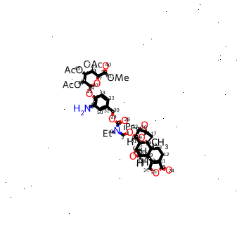 CCN(CO[C@H]1C2[C@H]3O[C@H]3[C@H]3C4=C(CC[C@]3(C)[C@]23C[C@@]2(O3)O[C@]12C(C)C)C(=O)OC4)C(=O)OCc1ccc(O[C@@H]2OC(C(=O)OC)[C@@H](OC(C)=O)C(OC(C)=O)C2OC(C)=O)c(N)c1